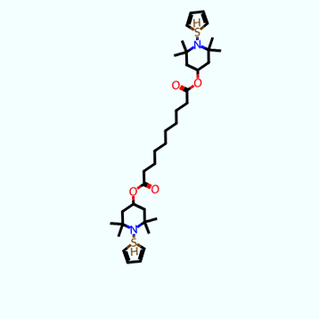 CC1(C)CC(OC(=O)CCCCCCCCC(=O)OC2CC(C)(C)N([SH]3C=CC=C3)C(C)(C)C2)CC(C)(C)N1[SH]1C=CC=C1